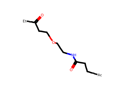 CCC(=O)CCOCCNC(=O)CCC(C)=O